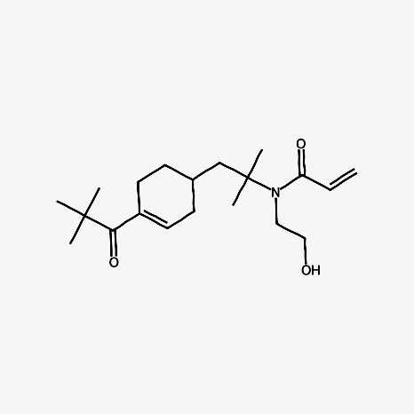 C=CC(=O)N(CCO)C(C)(C)CC1CC=C(C(=O)C(C)(C)C)CC1